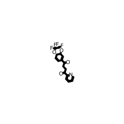 O=C(CCC(=O)c1ccccn1)C1=CC2OC(F)(F)C(F)(F)OC2C=C1